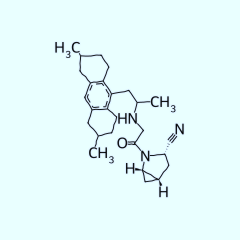 CC1CCc2c(cc3c(c2CC(C)NCC(=O)N2[C@H](C#N)C[C@@H]4C[C@@H]42)CCC(C)C3)C1